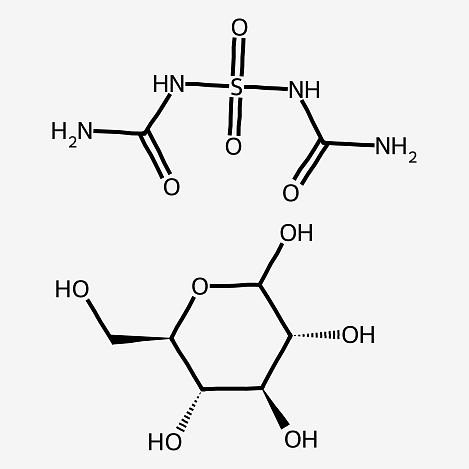 NC(=O)NS(=O)(=O)NC(N)=O.OC[C@H]1OC(O)[C@H](O)[C@@H](O)[C@@H]1O